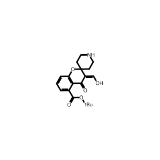 CC(C)(C)OC(=O)c1cccc2c1C(=O)C(=CO)C1(CCNCC1)O2